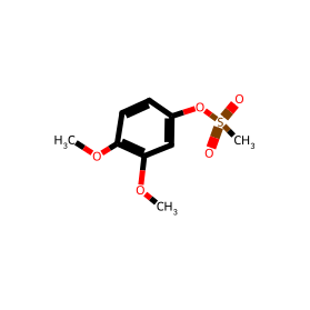 COc1ccc(OS(C)(=O)=O)cc1OC